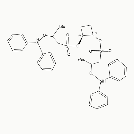 CC(C)(C)C(CS(=O)(=O)O[C@H]1CC[C@@H]1OS(=O)(=O)CC(O[SiH](c1ccccc1)c1ccccc1)C(C)(C)C)O[SiH](c1ccccc1)c1ccccc1